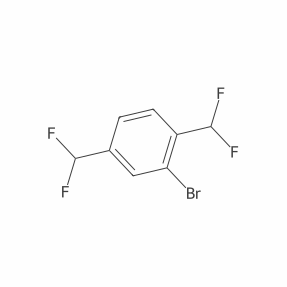 FC(F)c1ccc(C(F)F)c(Br)c1